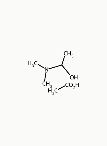 CC(=O)O.CC(O)N(C)C